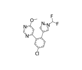 COc1cc(-c2cc(Cl)ccc2-c2cnn(C(F)F)c2)ncn1